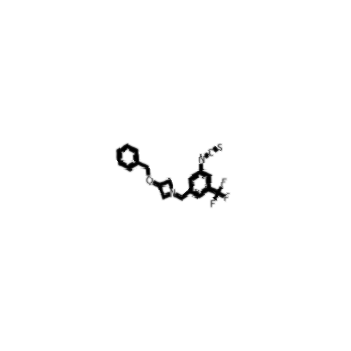 FC(F)(F)c1cc(CN2CC(OCc3ccccc3)C2)cc(N=C=S)c1